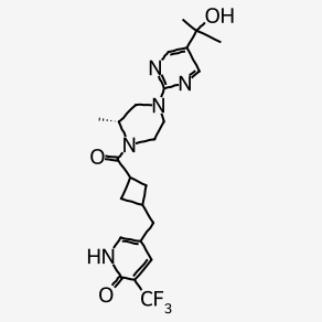 C[C@@H]1CN(c2ncc(C(C)(C)O)cn2)CCN1C(=O)C1CC(Cc2c[nH]c(=O)c(C(F)(F)F)c2)C1